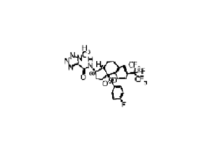 Cn1nnnc1C(=O)N[C@@H]1CC[C@@]2(S(=O)(=O)c3ccc(F)cc3)c3ccc(C(F)(C(F)(F)F)C(F)(F)F)cc3CC[C@@H]12